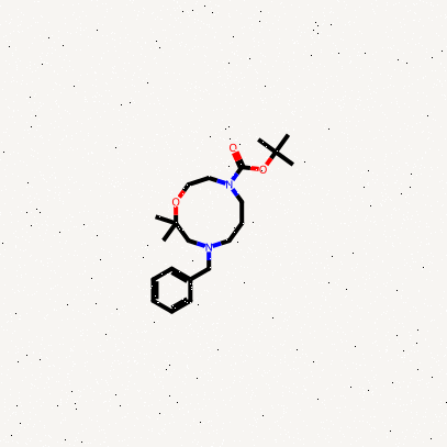 CC(C)(C)OC(=O)N1CCCN(Cc2ccccc2)CC(C)(C)OCC1